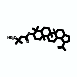 C=C(C)C1CCC2CC[C@]3(C)C(CCC4C5(C)CCC(OC(=O)CC(C)(C)C(=O)O)C(C)(C)C5CCC43C)C21